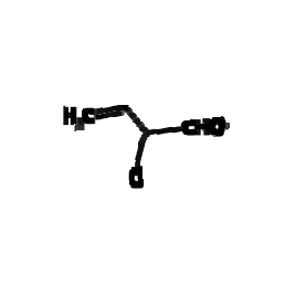 C=CC(Cl)[C]=O